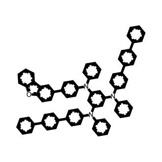 c1ccc(-c2ccc(-c3ccc(N(c4ccccc4)c4cc(N(c5ccccc5)c5ccc(-c6ccc(-c7ccccc7)cc6)cc5)cc(N(c5ccccc5)c5ccc(-c6ccc7oc8ccccc8c7c6)cc5)c4)cc3)cc2)cc1